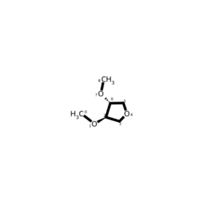 CO[C@@H]1COC[C@H]1OC